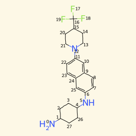 NC1CCC(Nc2ccc3cc(N4CCC(C(F)(F)F)CC4)ccc3c2)CC1